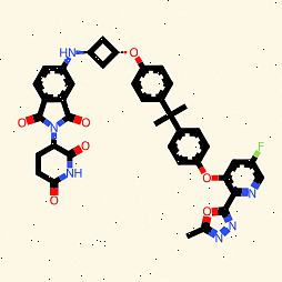 Cc1nnc(-c2ncc(F)cc2Oc2ccc(C(C)(C)c3ccc(O[C@H]4C[C@H](Nc5ccc6c(c5)C(=O)N(C5CCC(=O)NC5=O)C6=O)C4)cc3)cc2)o1